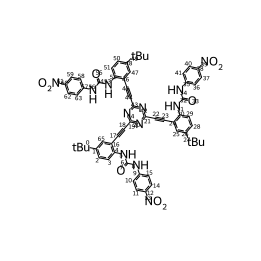 CC(C)(C)c1ccc(NC(=O)Nc2ccc([N+](=O)[O-])cc2)c(C#Cc2nc(C#Cc3cc(C(C)(C)C)ccc3NC(=O)Nc3ccc([N+](=O)[O-])cc3)nc(C#Cc3cc(C(C)(C)C)ccc3NC(=O)Nc3ccc([N+](=O)[O-])cc3)n2)c1